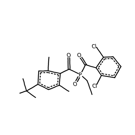 CCP(=O)(C(=O)c1c(C)cc(C(C)(C)C)cc1C)C(=O)c1c(Cl)cccc1Cl